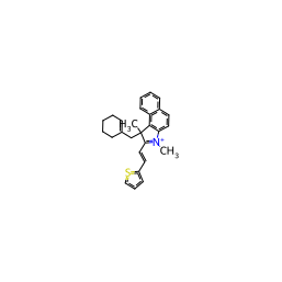 C[N+]1=C(/C=C/c2cccs2)C(C)(CC2=CCCCC2)c2c1ccc1ccccc21